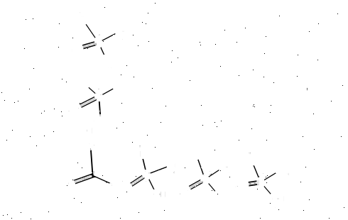 C=C(C)S(=O)(=O)O.O=P(O)(O)F.O=P(O)(O)F.O=P(O)(O)F.O=P(O)(O)F.O=P([O-])(O)F.[Li+]